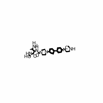 C[C@@H](N)[C@H](NC(=O)N1CCN(c2ccc(-c3ccc(N4CCNCC4)cc3)cc2)CC1)C(=O)NO